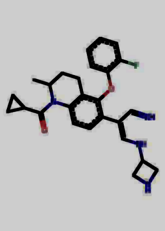 CC1CCc2c(ccc(/C(C=N)=C/NC3CNC3)c2Oc2ccccc2F)N1C(=O)C1CC1